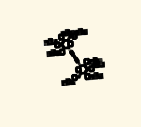 CCCCOC[C@H]1O[C@H](C#CC#C[C@H]2O[C@H](COCCCC)[C@@H](OCCCC)[C@H](OCCCC)[C@@H]2OCCCC)[C@@H](OCCCC)[C@@H](OCCCC)[C@@H]1OCCCC